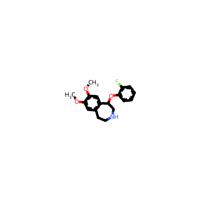 COc1cc2c(cc1OC)C(Oc1ccccc1F)CNCC2